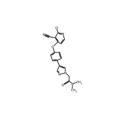 CN(C)C(=O)Cn1cc(-c2ccc(Oc3ccnc(Cl)c3C#N)cc2)cn1